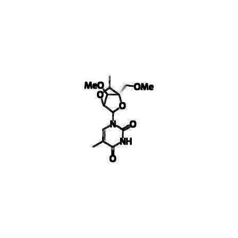 COC[C@@]12OC(n3cc(C)c(=O)[nH]c3=O)C(OC1C)C2OC